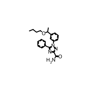 CCCCOC(C)c1cccc(-n2nc(C(N)=O)nc2-c2ccccc2)c1